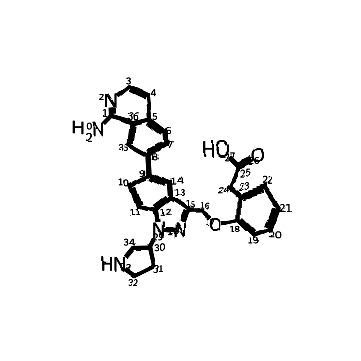 Nc1nccc2ccc(-c3ccc4c(c3)c(COc3ccccc3CC(=O)O)nn4C3CCNC3)cc12